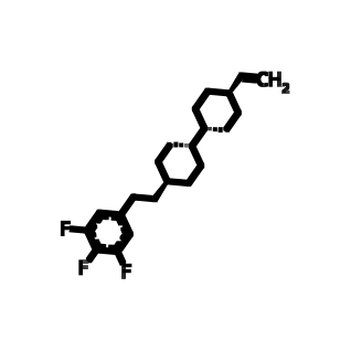 C=C[C@H]1CC[C@H]([C@H]2CC[C@H](CCc3cc(F)c(F)c(F)c3)CC2)CC1